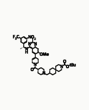 COc1cc2nc(C)nc(N[C@H](C)c3cc([N+](=O)[O-])cc(C(F)(F)F)c3)c2cc1C1=CCN(C(=O)C2CCN(CC3CCC4(CC3)CCN(C(=O)OC(C)(C)C)CC4)CC2)CC1